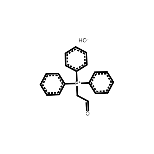 O=CC[P+](c1ccccc1)(c1ccccc1)c1ccccc1.[OH-]